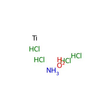 Cl.Cl.Cl.Cl.N.O.[Ti]